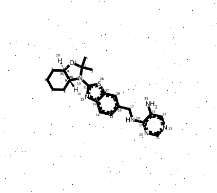 CC1(C)O[C@@H]2CCCC[C@H]2N1c1nc2ccc(CNc3ncncc3N)cc2s1